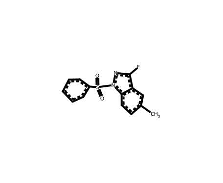 Cc1ccc2c(c1)c(F)nn2S(=O)(=O)c1ccccc1